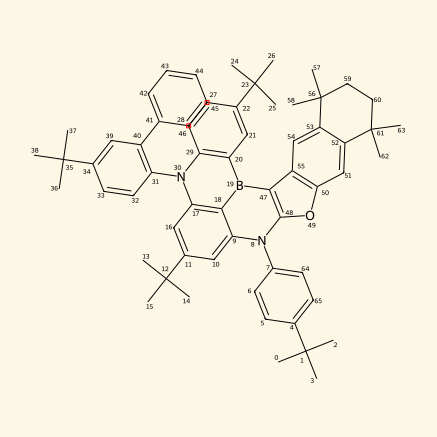 CC(C)(C)c1ccc(N2c3cc(C(C)(C)C)cc4c3B(c3cc(C(C)(C)C)ccc3N4c3ccc(C(C)(C)C)cc3-c3ccccc3)c3c2oc2cc4c(cc32)C(C)(C)CCC4(C)C)cc1